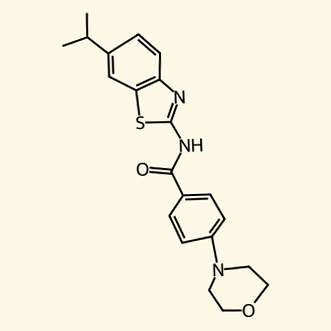 CC(C)c1ccc2nc(NC(=O)c3ccc(N4CCOCC4)cc3)sc2c1